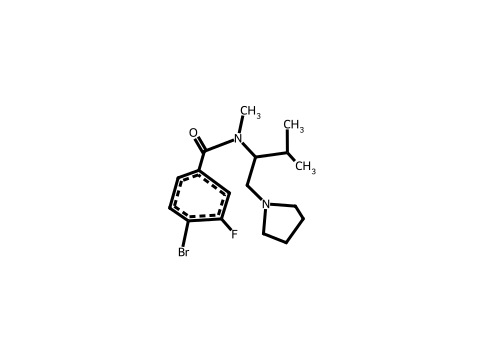 CC(C)C(CN1CCCC1)N(C)C(=O)c1ccc(Br)c(F)c1